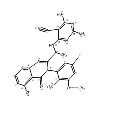 COc1cc(F)cc(-n2c(C(C)Nc3nc(N)nc(N)c3C#N)nc3cccc(Cl)c3c2=O)c1C